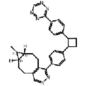 C[C@@H]1[C@H]2CCc3cnnc(-c4ccc(C5CCC5c5ccc(-c6nncnn6)cc5)cc4)c3CC[C@@H]12